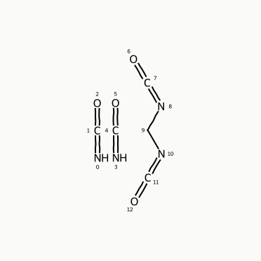 N=C=O.N=C=O.O=C=NCN=C=O